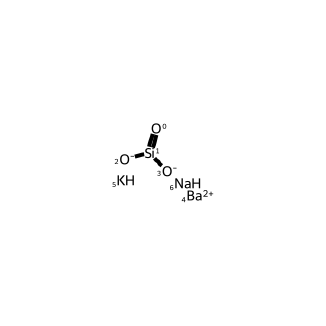 O=[Si]([O-])[O-].[Ba+2].[KH].[NaH]